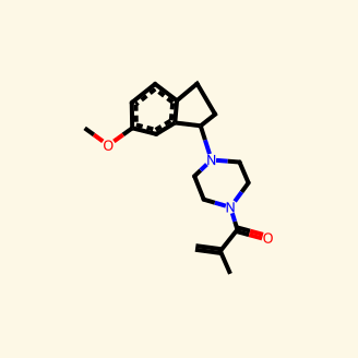 C=C(C)C(=O)N1CCN(C2CCc3ccc(OC)cc32)CC1